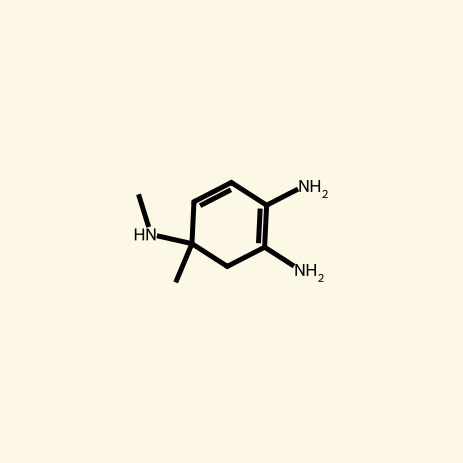 CNC1(C)C=CC(N)=C(N)C1